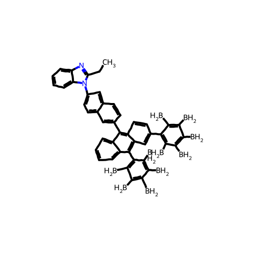 Bc1c(B)c(B)c(-c2ccc3c(-c4ccc5cc(-n6c(CC)nc7ccccc76)ccc5c4)c4ccccc4c(-c4c(B)c(B)c(B)c(B)c4B)c3c2)c(B)c1B